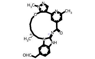 Cc1cc2cc(n1)-c1cnn(C)c1OCCC[C@@H](C)CN1/C(=N/C2=O)Nc2ccc(CC=O)cc21